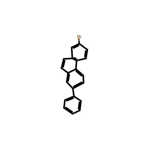 Brc1ccc2c(ccc3cc(-c4ccccc4)ccc32)c1